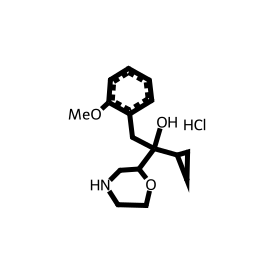 COc1ccccc1CC(O)(C1CC1)C1CNCCO1.Cl